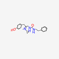 CN(C1CC1)[C@H](CNC(=O)NCCc1ccccc1)Cc1ccc(O)cc1